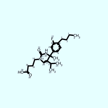 CCCCc1ccc(C2(C)NC(=O)N(CCCC(=O)O)C=C2C(C)C)cc1F